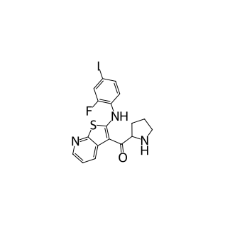 O=C(c1c(Nc2ccc(I)cc2F)sc2ncccc12)C1CCCN1